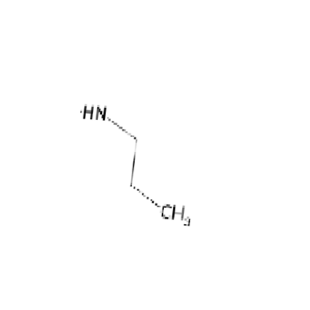 CCC[NH]